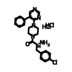 Cl.Cl.N[C@H](Cc1ccc(Cl)cc1)C(=O)N1CCN(c2ncncc2-c2ccccc2)CC1